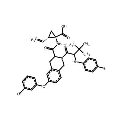 C=C[C@@H]1C[C@]1(NC(=O)C1Cc2cc(Oc3cccc(Cl)c3)ccc2CN1C(=O)C(Nc1ccc(F)cc1)C(C)(C)C)C(=O)O